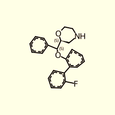 Fc1ccccc1-c1ccccc1O[C@@H](c1ccccc1)[C@@H]1CNCCO1